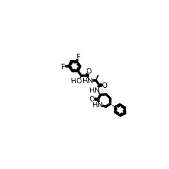 C[C@H](NC(=O)[C@@H](O)c1cc(F)cc(F)c1)C(=O)N[C@H]1CC[C@H](c2ccccc2)CNC1=O